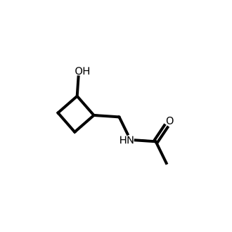 CC(=O)NCC1CCC1O